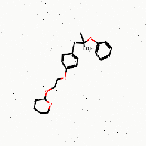 CCOC(=O)C(C)(Cc1ccc(OCCOC2CCCCO2)cc1)Oc1ccccc1